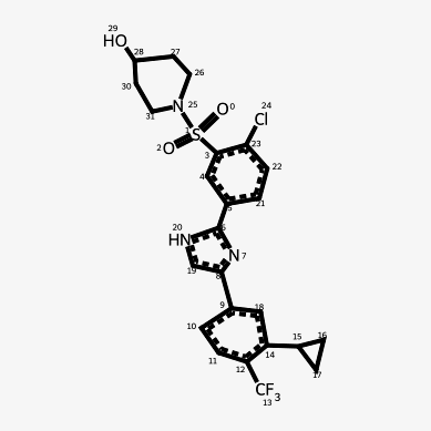 O=S(=O)(c1cc(-c2nc(-c3ccc(C(F)(F)F)c(C4CC4)c3)c[nH]2)ccc1Cl)N1CCC(O)CC1